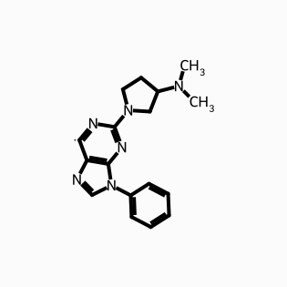 CN(C)C1CCN(c2n[c]c3ncn(-c4ccccc4)c3n2)C1